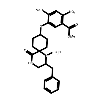 COC(=O)c1cc(OC2CCC3(CC2)C(=O)NCC(Cc2ccccc2)N3C(=O)O)c(OC)cc1[N+](=O)[O-]